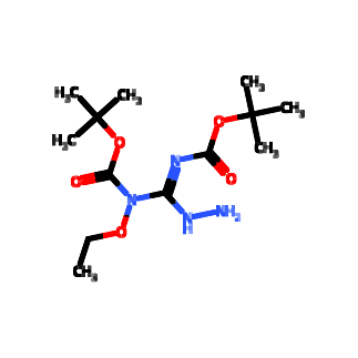 CCON(C(=O)OC(C)(C)C)C(=NC(=O)OC(C)(C)C)NN